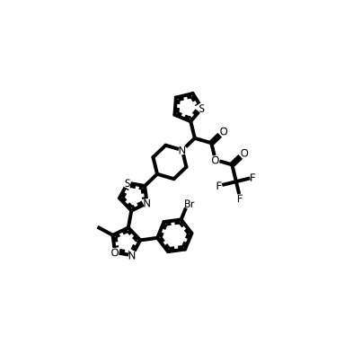 Cc1onc(-c2cccc(Br)c2)c1-c1csc(C2CCN(C(C(=O)OC(=O)C(F)(F)F)c3cccs3)CC2)n1